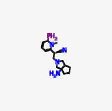 CN1C([C@@H](C#N)CN2CC3CCCC3(N)C2)=CC=CC1P